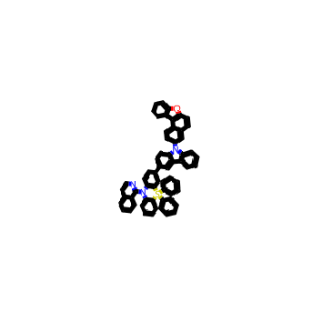 c1ccc(S2(c3ccccc3)c3ccccc3N(c3nccc4ccccc34)c3ccc(-c4ccc5c(c4)c4ccccc4n5-c4ccc5c(ccc6oc7ccccc7c65)c4)cc32)cc1